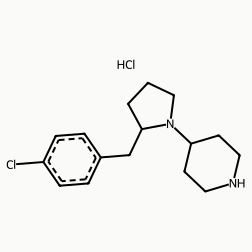 Cl.Clc1ccc(CC2CCCN2C2CCNCC2)cc1